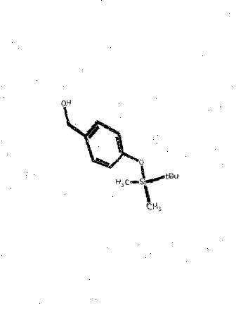 CC(C)(C)[Si](C)(C)Oc1ccc(CO)cc1